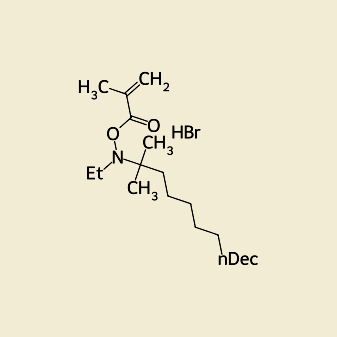 Br.C=C(C)C(=O)ON(CC)C(C)(C)CCCCCCCCCCCCCCC